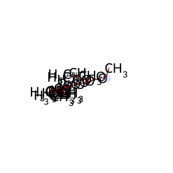 CCCCCC/C=C\COC(=O)CCCCCCCOCC(COCCOCCOCCOCCOC(=O)CN(CCOC(=O)CN(CCOC)C(=O)OC(C)(C)C)C(=O)OC(C)(C)C)OCCC(C)CCC[C@H](C)CCC[C@H](C)CCCC(C)C